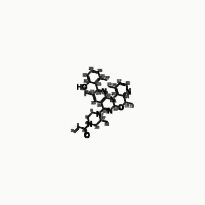 C=CC(=O)N1CCN(C2=NC3OC(C)c4nccc(C)c4N3c3nc(-c4c(C)cccc4O)c(F)cc32)[C@@H](C)C1